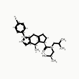 CC(C)CN(C[C@@H](C)O)C(=O)[C@@H]1CCC2=C1[C@@H](C)c1cnn(-c3ccc(F)cc3)c1C2